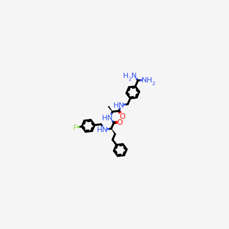 C[C@H](NC(=O)[C@@H](CCc1ccccc1)NCc1ccc(F)cc1)C(=O)NCc1ccc(C(N)N)cc1